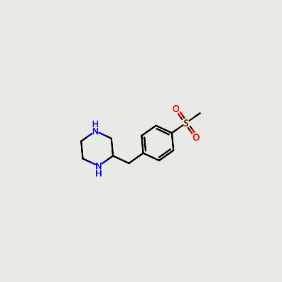 CS(=O)(=O)c1ccc(CC2CNCCN2)cc1